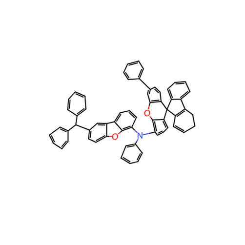 C1=CC2=C(CC1)c1ccccc1C21c2ccc(-c3ccccc3)cc2Oc2c(N(c3ccccc3)c3cccc4c3oc3ccc(C(c5ccccc5)c5ccccc5)cc34)cccc21